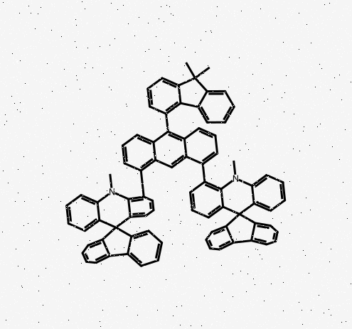 CN1c2ccccc2C2(c3ccccc3-c3ccccc32)c2cccc(-c3cccc4c(-c5cccc6c5-c5ccccc5C6(C)C)c5cccc(-c6cccc7c6N(C)c6ccccc6C76c7ccccc7-c7ccccc76)c5cc34)c21